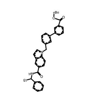 CCCCOC(=O)c1cccc(-c2cccc(Cn3ccc4cc(C(=O)NC(CC)c5ccccc5)ccc43)c2)c1